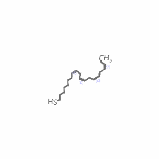 CC/C=C\C/C=C\C/C=C\C/C=C\CCCCCCCS